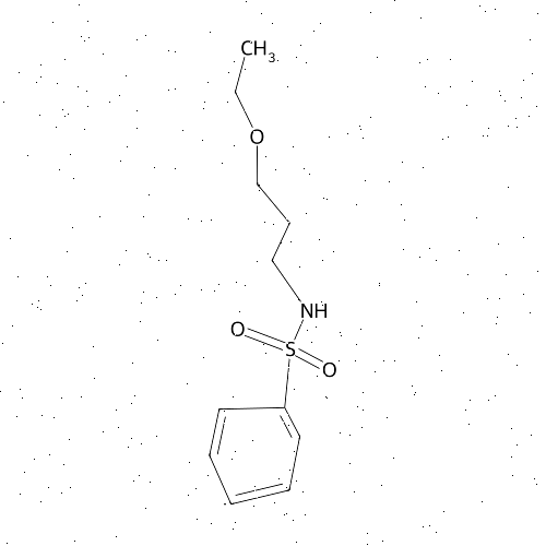 CCOCCCNS(=O)(=O)c1cc[c]cc1